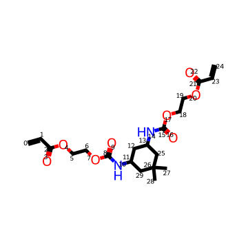 C=CC(=O)OCCOC(=O)NC1CC(NC(=O)OCCOC(=O)C=C)CC(C)(C)C1